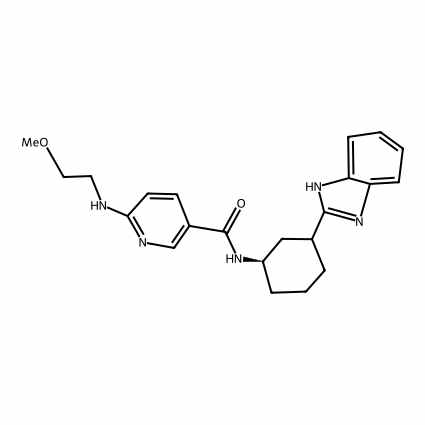 COCCNc1ccc(C(=O)N[C@@H]2CCCC(c3nc4ccccc4[nH]3)C2)cn1